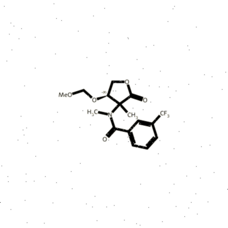 COCO[C@H]1COC(=O)C1(C)N(C)C(=O)c1cccc(C(F)(F)F)c1